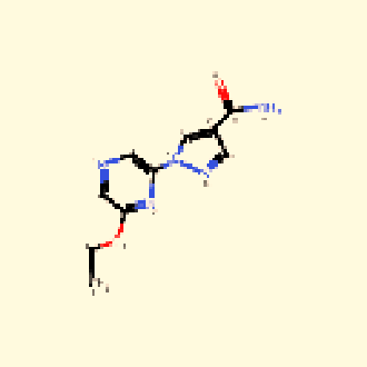 CCOc1cncc(-n2cc(C(N)=O)cn2)n1